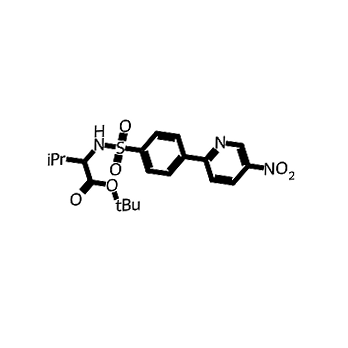 CC(C)C(NS(=O)(=O)c1ccc(-c2ccc([N+](=O)[O-])cn2)cc1)C(=O)OC(C)(C)C